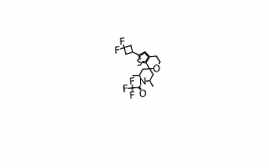 CC1CC2(CC(C)N1C(=O)C(F)(F)F)OCCc1cc(C3CC(F)(F)C3)sc12